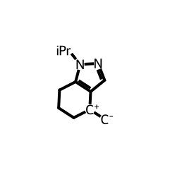 [CH2-][C+]1CCCc2c1cnn2C(C)C